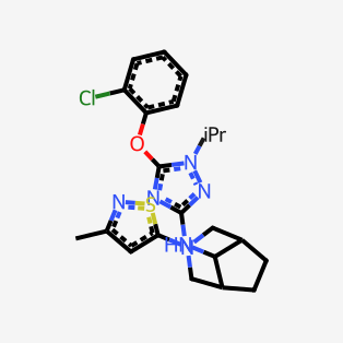 Cc1cc(N2CC3CCC(C2)C3Nc2nc(Oc3ccccc3Cl)n(C(C)C)n2)sn1